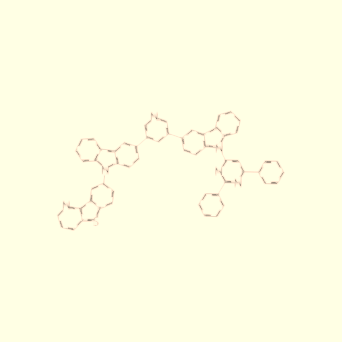 c1ccc(-c2cc(-n3c4ccccc4c4cc(-c5cncc(-c6ccc7c(c6)c6ccccc6n7-c6ccc7sc8cccnc8c7c6)c5)ccc43)nc(-c3ccccc3)n2)cc1